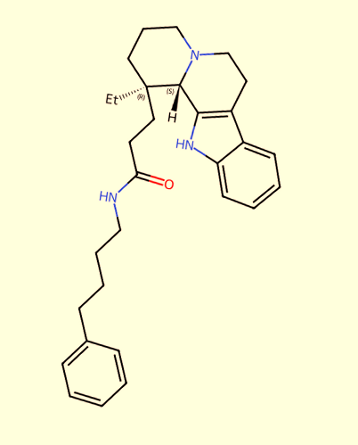 CC[C@]1(CCC(=O)NCCCCc2ccccc2)CCCN2CCc3c([nH]c4ccccc34)[C@@H]21